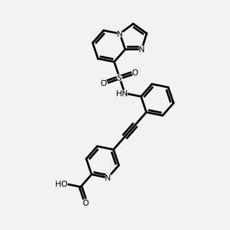 O=C(O)c1ccc(C#Cc2ccccc2NS(=O)(=O)c2cccn3ccnc23)cn1